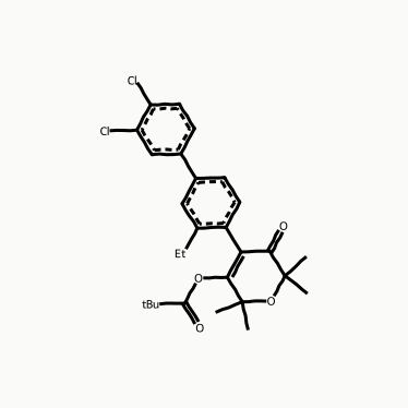 CCc1cc(-c2ccc(Cl)c(Cl)c2)ccc1C1=C(OC(=O)C(C)(C)C)C(C)(C)OC(C)(C)C1=O